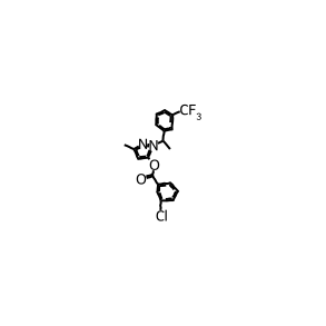 Cc1cc(OC(=O)c2cccc(Cl)c2)n(C(C)c2cccc(C(F)(F)F)c2)n1